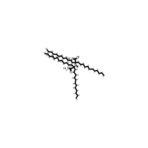 CCCCCCCCCCCCC(CCCCCCCCCCCC)(C(N)=O)N(C)C(CCCCCCCCCCCC)(CCCCCCCCCCCC)C(N)=O